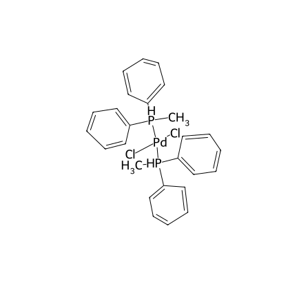 C[PH](c1ccccc1)(c1ccccc1)[Pd]([Cl])([Cl])[PH](C)(c1ccccc1)c1ccccc1